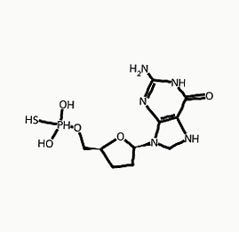 Nc1nc2c(c(=O)[nH]1)NCN2[C@H]1CC[C@@H](CO[PH](O)(O)S)O1